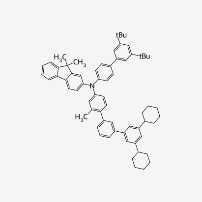 Cc1cc(N(c2ccc(-c3cc(C(C)(C)C)cc(C(C)(C)C)c3)cc2)c2ccc3c(c2)C(C)(C)c2ccccc2-3)ccc1-c1cccc(-c2cc(C3CCCCC3)cc(C3CCCCC3)c2)c1